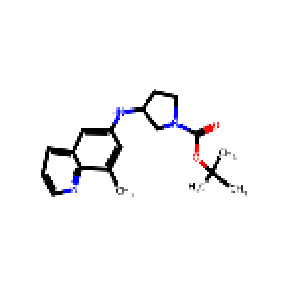 Cc1cc(NC2CCN(C(=O)OC(C)(C)C)C2)cc2cccnc12